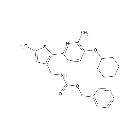 Cc1cc(CNC(=O)OCc2ccccc2)c(-c2ccc(OC3CCCCC3)c(C)n2)s1